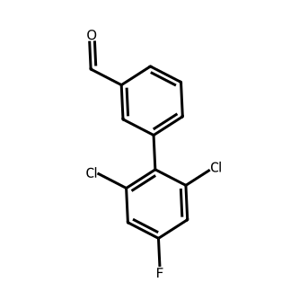 O=Cc1cccc(-c2c(Cl)cc(F)cc2Cl)c1